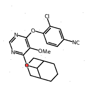 [C-]#[N+]c1ccc(Oc2ncnc(OC3C4CCCC3COC4)c2OC)c(Cl)c1